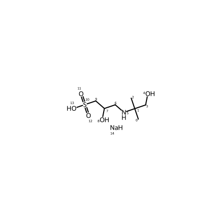 CC(C)(CO)NCC(O)CS(=O)(=O)O.[NaH]